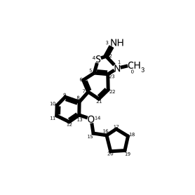 Cn1c(=N)sc2cc(-c3ccccc3OCC3CCCC3)ccc21